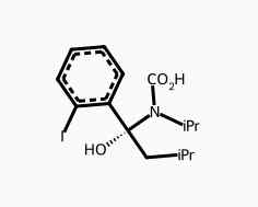 CC(C)C[C@@](O)(c1ccccc1I)N(C(=O)O)C(C)C